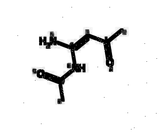 CC(=O)C=C(N)NC(C)=O